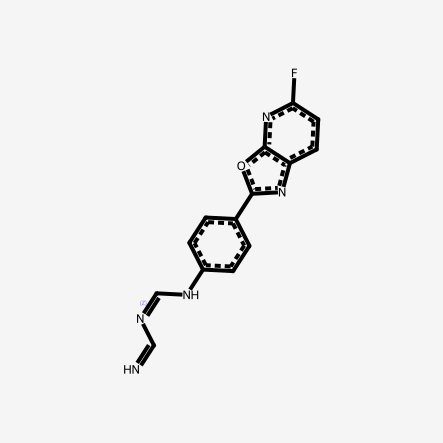 N=C/N=C\Nc1ccc(-c2nc3ccc(F)nc3o2)cc1